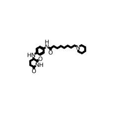 O=C1CCC(Nc2ccc(NC(=O)CCCCCCCN3CCCCC3)cc2)C(=O)N1